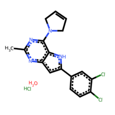 Cc1nc(N2CC=CC2)c2[nH]c(-c3ccc(Cl)c(Cl)c3)cc2n1.Cl.O